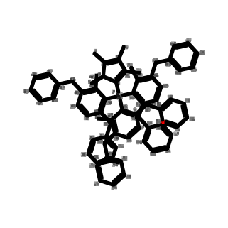 CC1=C(C)C(C)C([Si](c2c(Cc3ccccc3)ccc(Cc3ccccc3)c2C)(c2c(Cc3ccccc3)ccc(Cc3ccccc3)c2C)c2c(Cc3ccccc3)ccc(Cc3ccccc3)c2C)=C1C